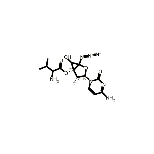 CC(C)C(N)C(=O)O[C@]12C(O)C1(N=[N+]=[N-])O[C@@H](n1ccc(N)nc1=O)[C@@H]2F